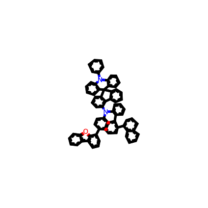 c1ccc(N2c3ccccc3C3(c4ccccc4-c4c(N(c5ccc(-c6cccc7c6oc6ccccc67)cc5)c5ccccc5-c5ccccc5-c5cccc6ccccc56)cccc43)c3ccccc32)cc1